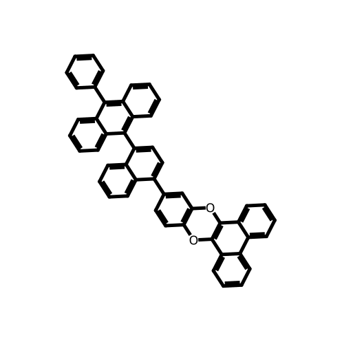 c1ccc(-c2c3ccccc3c(-c3ccc(-c4ccc5c(c4)Oc4c(c6ccccc6c6ccccc46)O5)c4ccccc34)c3ccccc23)cc1